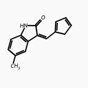 Cc1ccc2c(c1)/C(=C/C1=CC=CC1)C(=O)N2